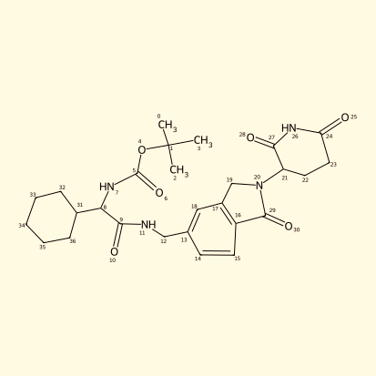 CC(C)(C)OC(=O)NC(C(=O)NCc1ccc2c(c1)CN(C1CCC(=O)NC1=O)C2=O)C1CCCCC1